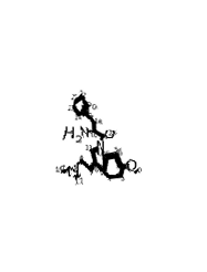 COc1ccc2c(CCN(C)C)cn(C(=O)[C@@H](N)Cc3ccccc3)c2c1